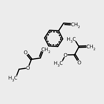 C=C(C)C(=O)OC.C=CC(=O)OCC.C=Cc1ccccc1